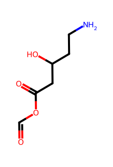 NCCC(O)CC(=O)OC=O